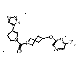 O=C(N1CCC(n2cnnn2)C1)N1CC2(CC(Oc3cncc(C(F)(F)F)n3)C2)C1